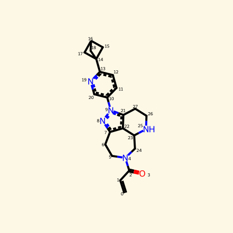 C=CC(=O)N1CCc2nn(-c3ccc(C45CC(C4)C5)nc3)c3c2C(C1)NCC3